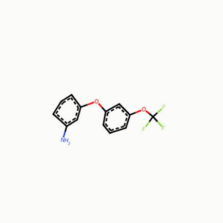 Nc1cccc(Oc2cccc(OC(F)(F)F)c2)c1